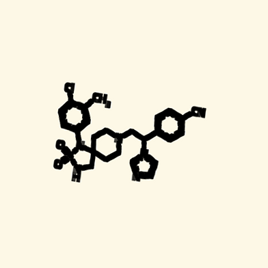 Cc1cc(N2C3(CCN(CC(c4ccc(C#N)cc4)n4ccnc4)CC3)CNS2(=O)=O)ccc1Cl